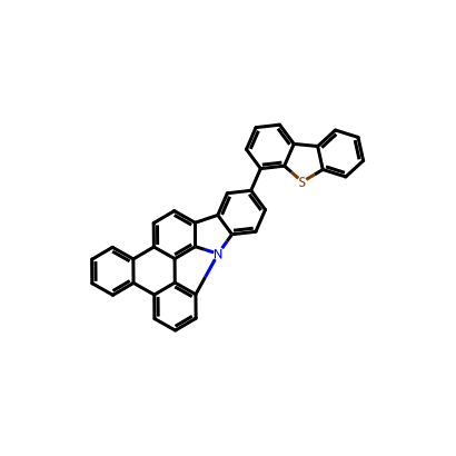 c1ccc2c(c1)sc1c(-c3ccc4c(c3)c3ccc5c6ccccc6c6cccc7c6c5c3n47)cccc12